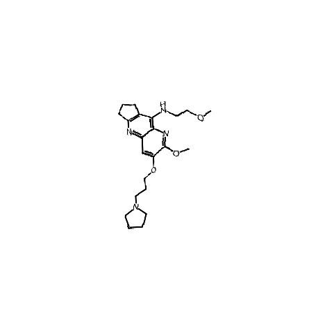 COCCNc1c2c(nc3cc(OCCCN4CCCC4)c(OC)nc13)CCC2